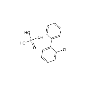 Clc1ccccc1-c1ccccc1.O=P(O)(O)O